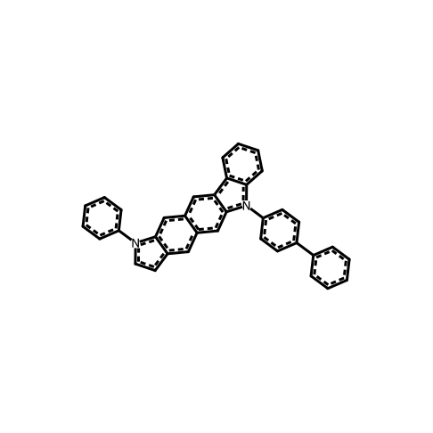 c1ccc(-c2ccc(-n3c4ccccc4c4cc5cc6c(ccn6-c6ccccc6)cc5cc43)cc2)cc1